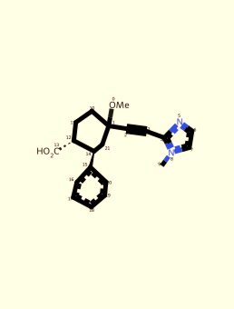 COC1(C#Cc2nccn2C)CC[C@@H](C(=O)O)[C@H](c2ccccc2)C1